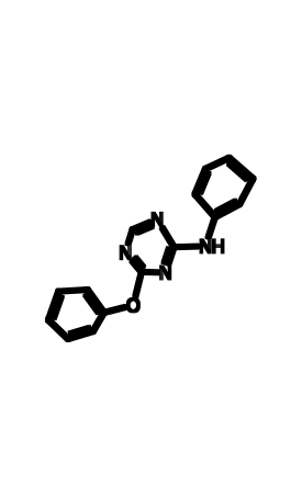 c1ccc(Nc2ncnc(Oc3ccccc3)n2)cc1